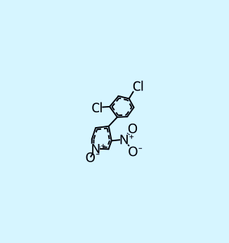 O=[N+]([O-])c1c[n+]([O-])ccc1-c1ccc(Cl)cc1Cl